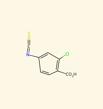 O=C(O)c1ccc(N=C=S)cc1Cl